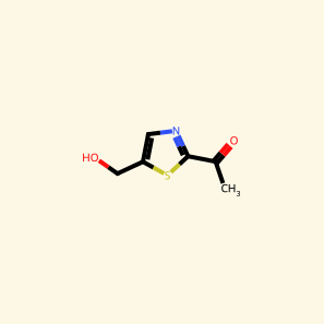 CC(=O)c1ncc(CO)s1